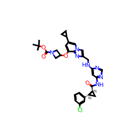 CC(C)(C)OC(=O)N1CC(Oc2cc(C3CC3)cn3cc(CNc4cc(NC(=O)[C@H]5C[C@@H]5c5cccc(Cl)c5)ncn4)nc23)C1